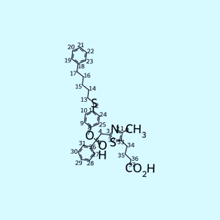 Cc1nc(CC(O)(Oc2ccc(SCCCCCc3ccccc3)cc2)c2ccccc2)sc1CCCC(=O)O